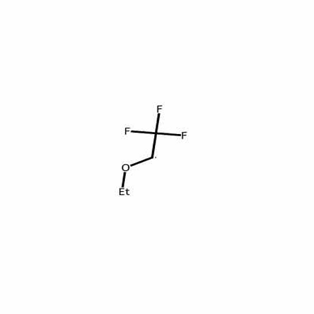 CCO[CH]C(F)(F)F